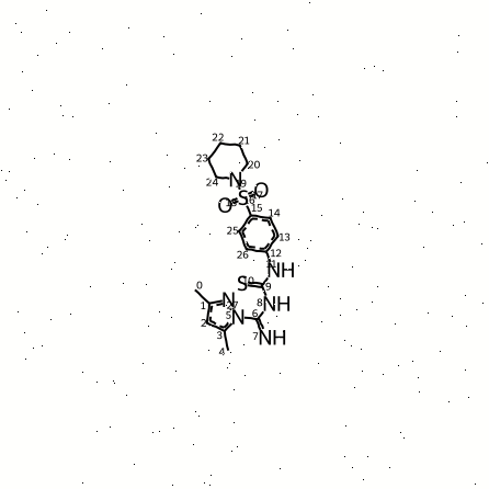 Cc1cc(C)n(C(=N)NC(=S)Nc2ccc(S(=O)(=O)N3CCCCC3)cc2)n1